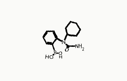 NC(=O)N(c1ccccc1B(O)O)C1CCCCC1